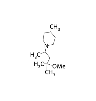 COC(C)(C)CC(C)N1CCC(C)CC1